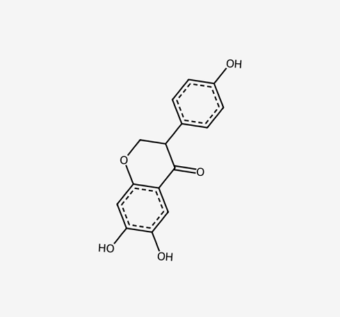 O=C1c2cc(O)c(O)cc2OCC1c1ccc(O)cc1